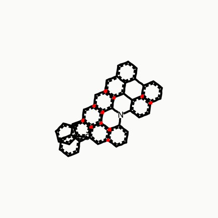 c1ccc(-c2cccc3cccc(-c4ccccc4N(c4ccccc4-c4cccc5c4ccc4ccccc45)c4ccccc4-c4cccc5c4sc4ccccc45)c23)cc1